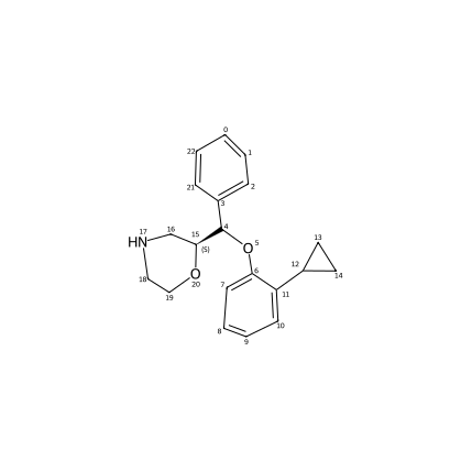 c1ccc(C(Oc2ccccc2C2CC2)[C@@H]2CNCCO2)cc1